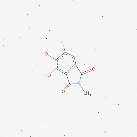 CN1C(=O)c2cc(F)c(O)c(O)c2C1=O